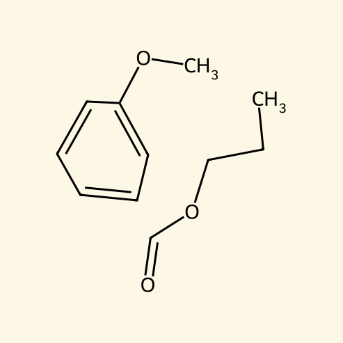 CCCOC=O.COc1ccccc1